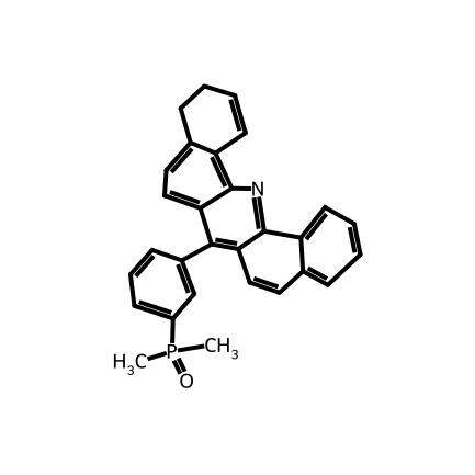 CP(C)(=O)c1cccc(-c2c3ccc4c(c3nc3c2ccc2ccccc23)C=CCC4)c1